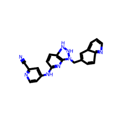 N#Cc1cc(Nc2ccc3c(n2)N(Cc2ccc4ncccc4c2)NN3)ccn1